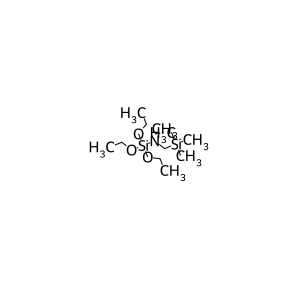 CCO[Si](OCC)(OCC)N(C)C[Si](C)(C)C